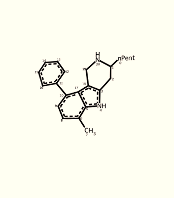 CCCCCC1Cc2[nH]c3c(C)ccc(-c4ccccc4)c3c2CN1